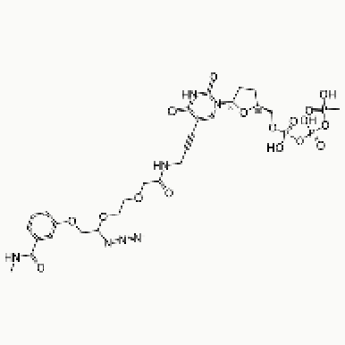 CNC(=O)c1cccc(OCC(N=[N+]=[N-])OCCOCC(=O)NCC#Cc2cn([C@H]3CC[C@@H](COP(=O)(O)OP(=O)(O)OP(C)(=O)O)O3)c(=O)[nH]c2=O)c1